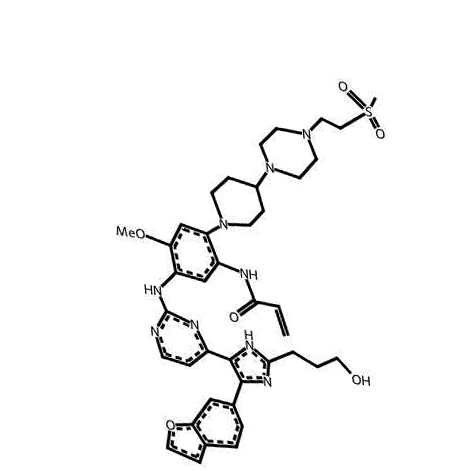 C=CC(=O)Nc1cc(Nc2nccc(-c3[nH]c(CCCO)nc3-c3ccc4ccoc4c3)n2)c(OC)cc1N1CCC(N2CCN(CCS(C)(=O)=O)CC2)CC1